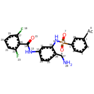 CC(=O)c1cccc(S(=O)(=O)Nc2cc(NC(=O)c3c(F)cccc3F)ccc2CN)c1